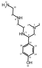 CN(C)CC(NCCNCCN)c1ccc(O)cc1